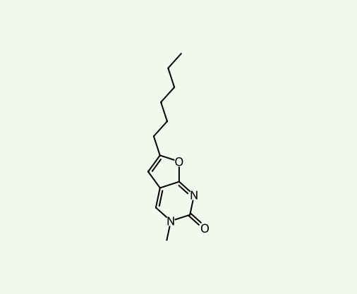 CCCCCCc1cc2cn(C)c(=O)nc2o1